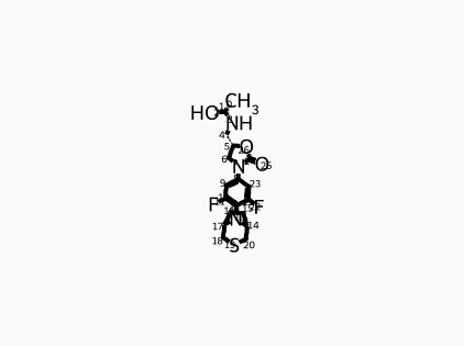 CC(O)NC[C@H]1CN(c2cc(F)c(N3C4CCC3CSC4)c(F)c2)C(=O)O1